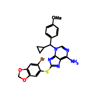 COc1ccc(C(C2CC2)n2cnc(N)c3nc(Sc4cc5c(cc4Br)OCO5)nc2-3)cc1